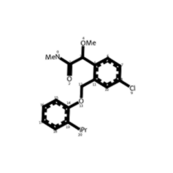 CNC(=O)C(OC)c1ccc(Cl)cc1COc1ccccc1C(C)C